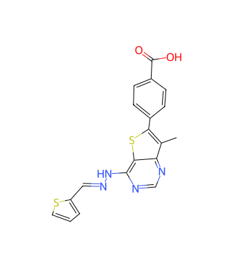 Cc1c(-c2ccc(C(=O)O)cc2)sc2c(NN=Cc3cccs3)ncnc12